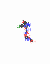 COc1ccc2c(c1)C(c1ccc(Cl)cc1)=N[C@@H](CC(=O)NCC(=O)NCOc1cccc(C(=O)NC[Si](C)(C)O)c1)c1nnc(C)n1-2